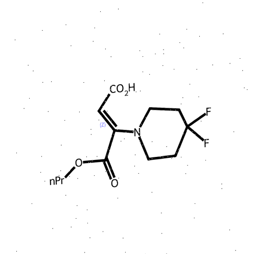 CCCOC(=O)/C(=C/C(=O)O)N1CCC(F)(F)CC1